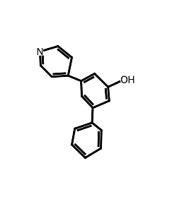 Oc1cc(-c2ccccc2)cc(-c2ccncc2)c1